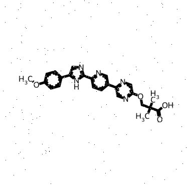 COc1ccc(-c2cnc(-c3ccc(-c4cnc(OCC(C)(C)C(=O)O)cn4)cn3)[nH]2)cc1